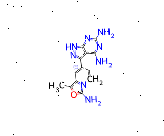 C=C/C(=C\c1nc(N)oc1C)c1n[nH]c2nc(N)nc(N)c12